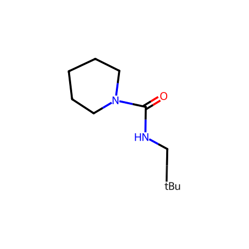 CC(C)(C)CNC(=O)N1CCCCC1